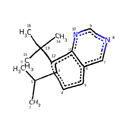 CC(C)c1ccc2cncnc2c1C(C)(C)C